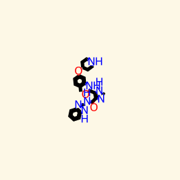 Cc1ccc(OC2CCNCC2)cc1NC(=O)c1[nH]cnc1C(=O)Nc1nc2ccccc2[nH]1